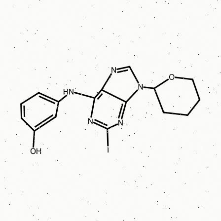 Oc1cccc(Nc2nc(I)nc3c2ncn3C2CCCCO2)c1